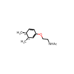 CC(=O)NCCOC1=C[C@@H](C)[C@@H](C)C=C1